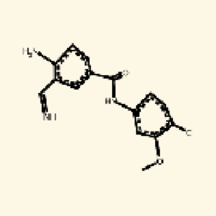 COc1cc(NC(=O)c2ccc(N)c(C=N)c2)ccc1Cl